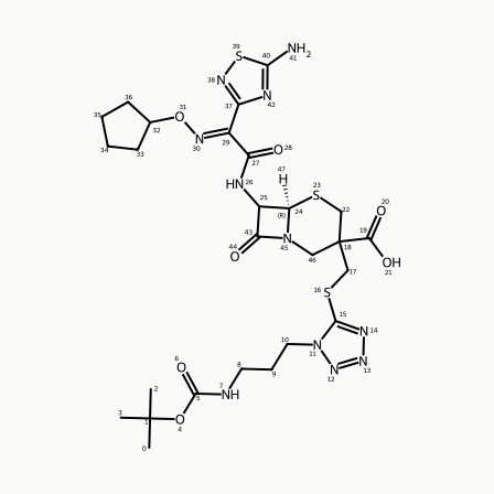 CC(C)(C)OC(=O)NCCCn1nnnc1SCC1(C(=O)O)CS[C@@H]2C(NC(=O)C(=NOC3CCCC3)c3nsc(N)n3)C(=O)N2C1